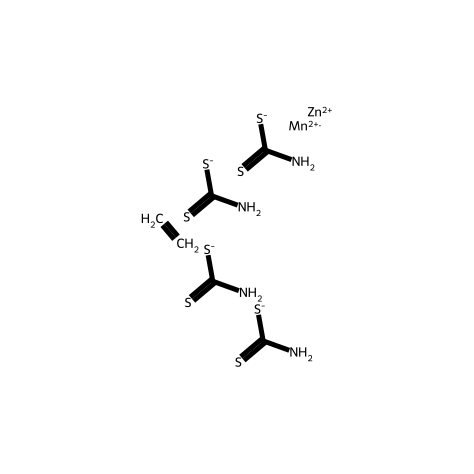 C=C.NC(=S)[S-].NC(=S)[S-].NC(=S)[S-].NC(=S)[S-].[Mn+2].[Zn+2]